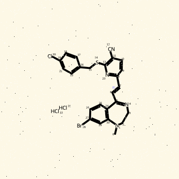 CN1CCN=C(/C=C/c2ccc(C#N)c(SCc3ccc(Cl)cc3)n2)c2ccc(Br)cc21.Cl.Cl